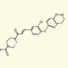 CNC(=O)N1CCN(C(=O)/C=C/c2ccc(Sc3ccc4c(c3)CCOO4)c(Cl)c2)CC1